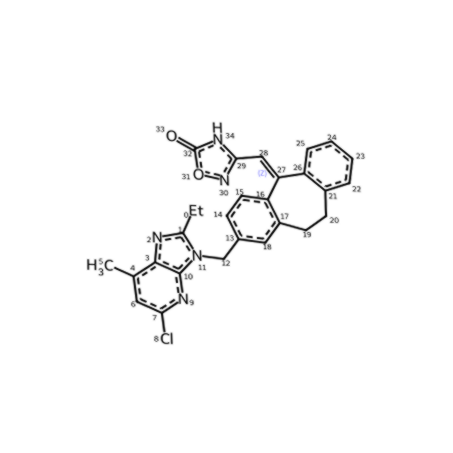 CCc1nc2c(C)cc(Cl)nc2n1Cc1ccc2c(c1)CCc1ccccc1/C2=C/c1noc(=O)[nH]1